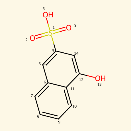 O=S(=O)(O)c1[c]c2ccccc2c(O)c1